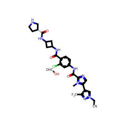 Cn1c(-c2cn(CC#N)nc2C(F)(F)F)cnc1C(=O)Nc1ccc(C(=O)NC2CC(NC(=O)[C@@H]3CCNC3)C2)c(Cl)c1.O=CO